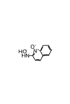 [O-][n+]1c(NO)ccc2ccccc21